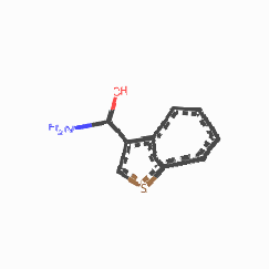 NC(O)c1csc2ccccc12